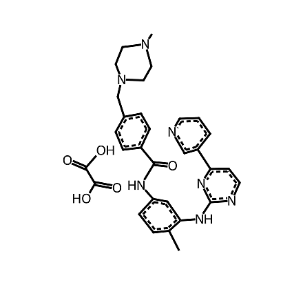 Cc1ccc(NC(=O)c2ccc(CN3CCN(C)CC3)cc2)cc1Nc1nccc(-c2cccnc2)n1.O=C(O)C(=O)O